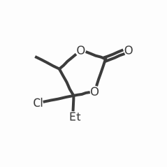 CCC1(Cl)OC(=O)OC1C